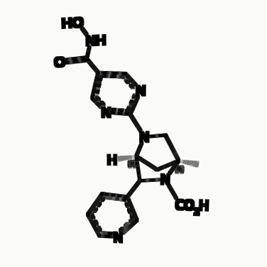 C[C@@]12C[C@@H](C(c3cccnc3)N1C(=O)O)N(c1ncc(C(=O)NO)cn1)C2